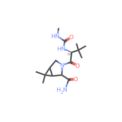 CNC(=O)N[C@H](C(=O)N1CC2C(C1C(N)=O)C2(C)C)C(C)(C)C